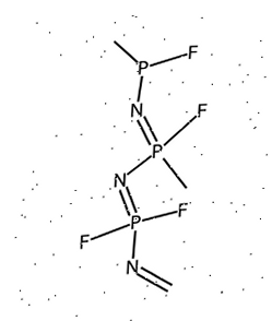 C=NP(F)(F)=NP(C)(F)=NP(C)F